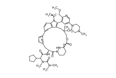 CCn1c(-c2cc(N3CCN(C)CC3)cnc2[C@H](C)OC)c2c3cc(ccc31)-c1csc(n1)C[C@H](NC(=O)C(C1CCCC1)N(C)C(=O)N(C)C)C(=O)N1CCC[C@H](N1)C(=O)OCC(C)(C)C2